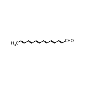 CC=CC=CC=CC=CC=CC=CC=O